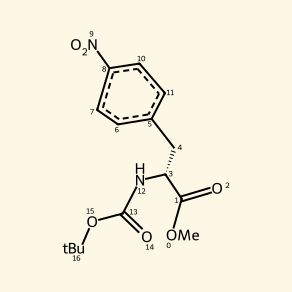 COC(=O)[C@@H](Cc1ccc([N+](=O)[O-])cc1)NC(=O)OC(C)(C)C